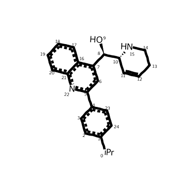 CC(C)c1ccc(-c2cc([C@@H](O)[C@H]3C=CCCN3)c3ccccc3n2)cc1